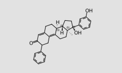 C[C@]12CCC3=C4CC(c5ccccc5)C(=O)C=C4CC[C@H]3[C@@H]1CC[C@]2(O)c1cccc(O)c1